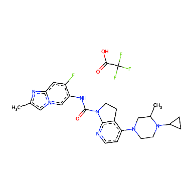 Cc1cn2cc(NC(=O)N3CCc4c(N5CCN(C6CC6)C(C)C5)ccnc43)c(F)cc2n1.O=C(O)C(F)(F)F